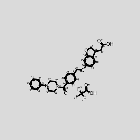 O=C(O)C(F)(F)F.O=C(O)CC1COc2cc(OCc3ccc(C(=O)N4CCN(c5ccccc5)CC4)cc3)ccc21